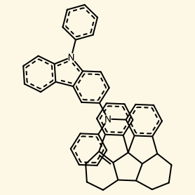 c1ccc(N(c2ccc3c(c2)c2ccccc2n3-c2ccccc2)c2cccc3c2C24C5=C(CCCC5C5CCCC3C52)c2ccccc24)cc1